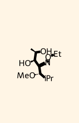 CCO/N=C(/[C@@H](OC)C(C)C)[C@@H](O)[C@@H](C)O